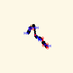 O=C1CCC(N2Cc3cc(CNC(=O)c4ccc(N5CCC6(CN(CCCCCCC(O)Nc7cccc(Sc8cnc(N9CCC%10(CCNC%10)CC9)cn8)c7)C6)C5)nn4)ccc3C2=O)C(=O)N1